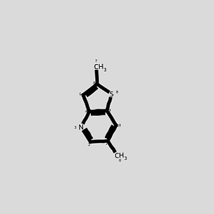 Cc1cnc2cc(C)sc2c1